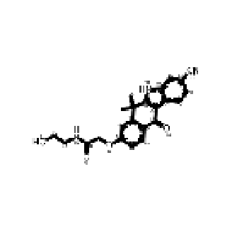 CC1(C)c2cc(OCC(=O)NCCO)ccc2C(=O)c2c1[nH]c1cc(C#N)ccc21